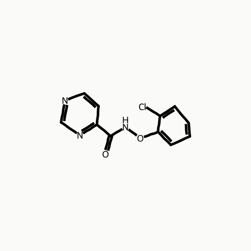 O=C(NOc1ccccc1Cl)c1ccncn1